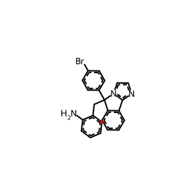 Nc1ccccc1CC1(c2ccc(Br)cc2)c2ccccc2-c2nccn21